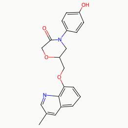 Cc1cnc2c(OCC3CN(c4ccc(O)cc4)C(=O)CO3)cccc2c1